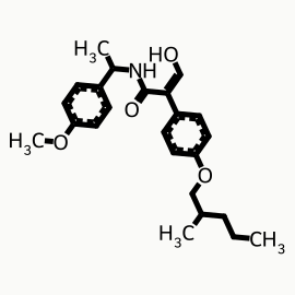 CCCC(C)COc1ccc(C(=CO)C(=O)NC(C)c2ccc(OC)cc2)cc1